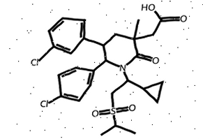 CC(C)S(=O)(=O)CC(C1CC1)N1C(=O)C(C)(CC(=O)O)CC(c2cccc(Cl)c2)C1c1ccc(Cl)cc1